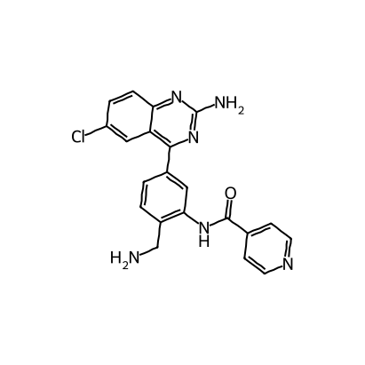 NCc1ccc(-c2nc(N)nc3ccc(Cl)cc23)cc1NC(=O)c1ccncc1